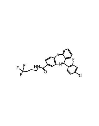 O=C(NCCCC(F)(F)F)c1ccc2c(c1)N=C(c1ccc(Cl)cc1F)c1ccccc1S2